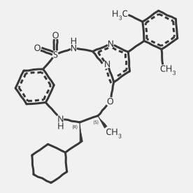 Cc1cccc(C)c1-c1cc2nc(n1)NS(=O)(=O)c1cccc(c1)N[C@H](CC1CCCCC1)[C@H](C)O2